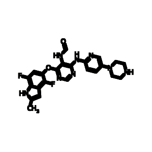 Cc1cc2c(F)c(Oc3ncnc(Nc4ccc(N5CCNCC5)cn4)c3NC=O)cc(F)c2[nH]1